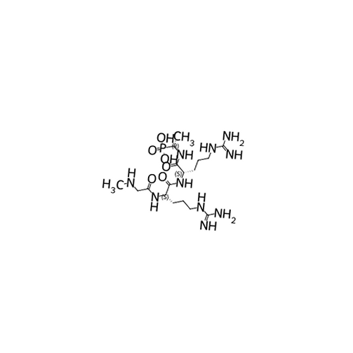 CNCC(=O)N[C@@H](CCCNC(=N)N)C(=O)N[C@@H](CCCNC(=N)N)C(=O)N[C@@H](C)P(=O)(O)O